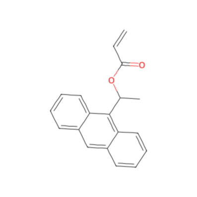 C=CC(=O)OC(C)c1c2ccccc2cc2ccccc12